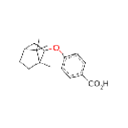 CC1(C)C2CCC1(C)C(Oc1ccc(C(=O)O)cc1)C2